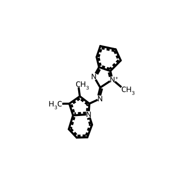 Cc1c(C)c2ccccn2c1/N=C1\N=c2ccccc2=[N+]1C